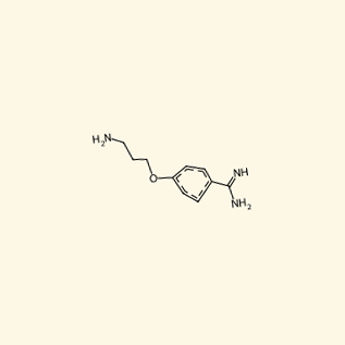 N=C(N)c1ccc(OCCCN)cc1